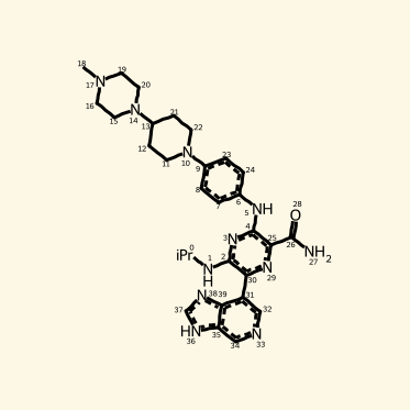 CC(C)Nc1nc(Nc2ccc(N3CCC(N4CCN(C)CC4)CC3)cc2)c(C(N)=O)nc1-c1cncc2[nH]cnc12